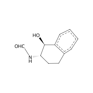 O=CN[C@H]1CCc2ccccc2[C@@H]1O